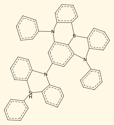 c1ccc(N2c3ccccc3B3c4ccccc4N(c4ccccc4)c4cc(N5c6ccccc6[SiH](c6ccccc6)c6ccccc65)cc2c43)cc1